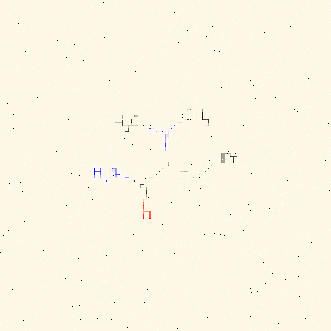 CC(C)C[C@H](C(N)=O)N(C)C